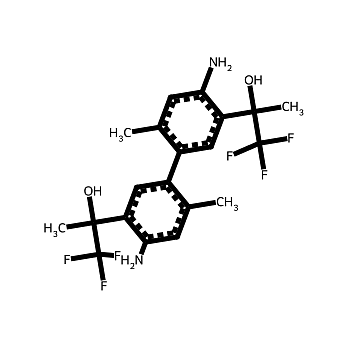 Cc1cc(N)c(C(C)(O)C(F)(F)F)cc1-c1cc(C(C)(O)C(F)(F)F)c(N)cc1C